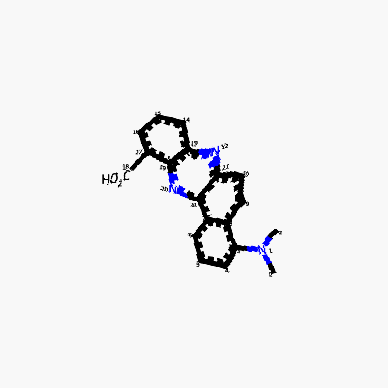 CN(C)c1cccc2c1ccc1nc3cccc(C(=O)O)c3nc12